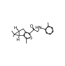 Cc1ccccc1NCC(=O)c1sc(C)c2c1C[C@@H]1[C@H]2C1(C)C